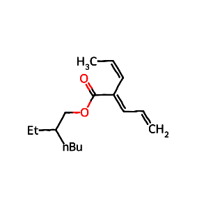 C=C/C=C(\C=C/C)C(=O)OCC(CC)CCCC